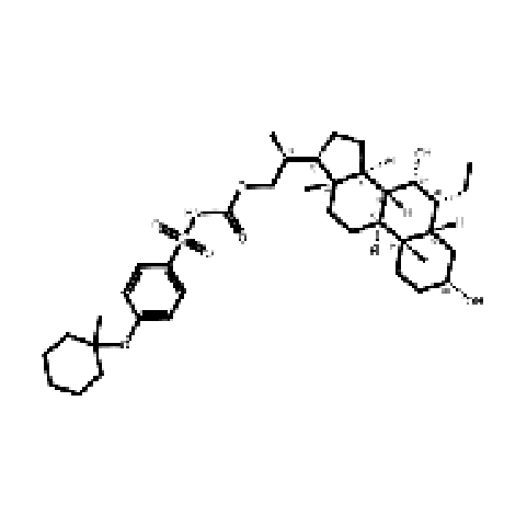 CC[C@H]1[C@@H](O)[C@@H]2[C@H](CC[C@]3(C)[C@@H]([C@H](C)COC(=O)NS(=O)(=O)c4ccc(OC5(C)CCCCC5)cc4)CC[C@@H]23)[C@@]2(C)CC[C@@H](O)C[C@@H]12